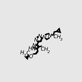 C=Cc1c(-c2cc(N3CCN(C(C)CC4CC4)CC3)ncn2)n[nH]c1/C=C\COC1(C)CC1